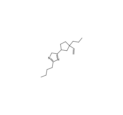 C=CC1(CCC)CCC(C2=NC(CCCC)=NC2)C1